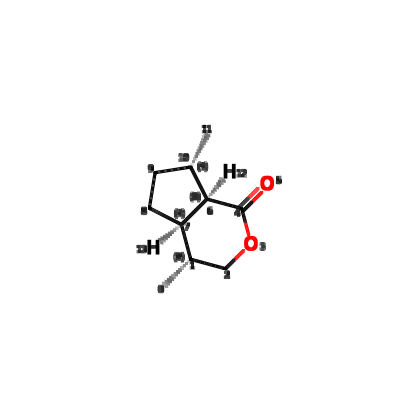 C[C@H]1COC(=O)[C@H]2[C@@H]1CC[C@@H]2C